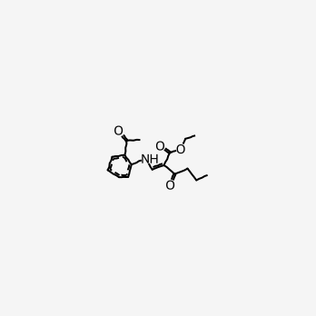 CCCC(=O)C(=CNc1ccccc1C(C)=O)C(=O)OCC